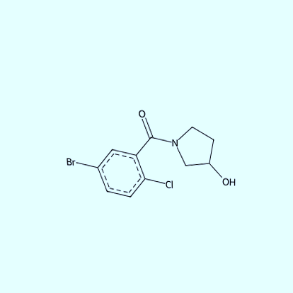 O=C(c1cc(Br)ccc1Cl)N1CCC(O)C1